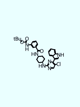 CC(C)(C)OC(=O)Nc1cccc(C(=O)N[C@H]2CC[C@H](Nc3ncc(Cl)c(-c4c[nH]c5ccccc45)n3)CC2)c1